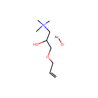 C=CCOCC(O)C[N+](C)(C)C.CC(=O)[O-]